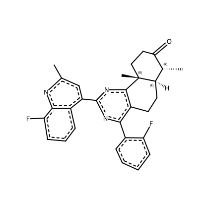 Cc1cc(-c2nc(-c3ccccc3F)c3c(n2)[C@]2(C)CCC(=O)[C@H](C)[C@H]2CC3)c2cccc(F)c2n1